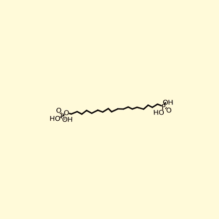 O=P(O)(O)CCCCCCCCCCCCCCCCCCOP(=O)(O)O